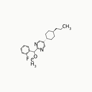 CCC[C@H]1CC[C@H](c2cnc(C(OC)c3ccccc3F)nc2)CC1